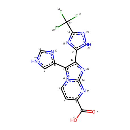 O=C(O)c1ccn2c(-c3c[nH]cn3)c(-c3nc(C(F)(F)F)n[nH]3)nc2n1